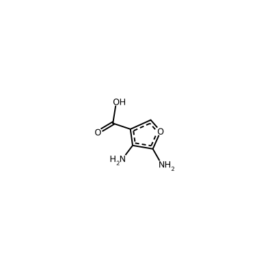 Nc1occ(C(=O)O)c1N